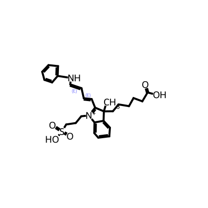 CC1(CCCCCC(=O)O)C(/C=C/C=C/Nc2ccccc2)=[N+](CCCS(=O)(=O)O)c2ccccc21